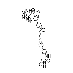 CC(C)n1nc(-c2noc(C3CC3)c2-c2ccc(C3CCN(C(=O)CCCCCN4CCC(c5ccc(NC6CCC(=O)NC6=O)cc5)CC4)CC3)cn2)c2c(N)ncnc21